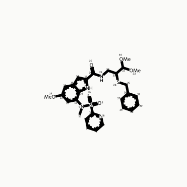 C=S(=O)(c1ccccn1)N(C)c1cc(OC)cc2cc(C(=O)NCC(SCc3ccccc3)C(OC)OC)[nH]c12